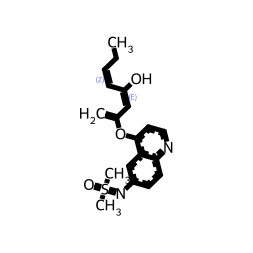 C=C(/C=C(O)\C=C/CC)Oc1ccnc2ccc(N=S(C)(C)=O)cc12